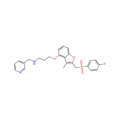 Cc1c(CS(=O)(=O)c2ccc(F)cc2)oc2cccc(OCCCNCc3cccnc3)c12